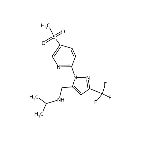 CC(C)NCc1cc(C(F)(F)F)nn1-c1ccc(S(C)(=O)=O)cn1